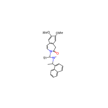 CCC(N1C=Cc2cc(OC)c(OC)cc2CC1=O)N(C)C(C)c1cccc2ccccc12